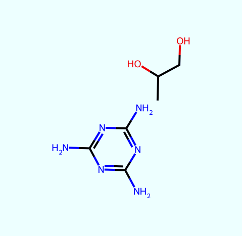 CC(O)CO.Nc1nc(N)nc(N)n1